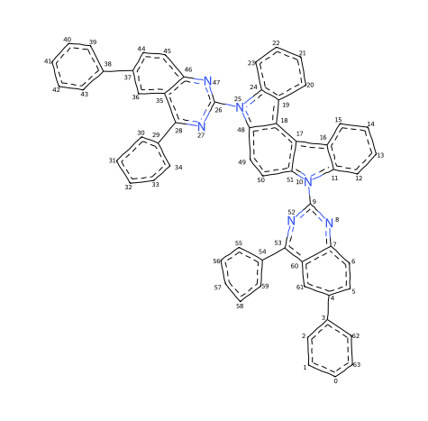 c1ccc(-c2ccc3nc(-n4c5ccccc5c5c6c7ccccc7n(-c7nc(-c8ccccc8)c8cc(-c9ccccc9)ccc8n7)c6ccc54)nc(-c4ccccc4)c3c2)cc1